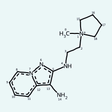 C[N+]1(CCNc2nn3ccccc3c2N)CCCC1